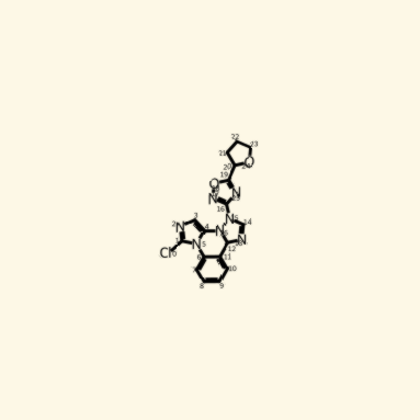 Clc1ncc2n1-c1ccccc1C1N=CN(c3noc(C4CCCO4)n3)N21